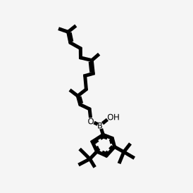 CC(C)=CCCC(C)=CCCC(C)=CCOB(O)c1cc(C(C)(C)C)cc(C(C)(C)C)c1